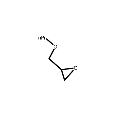 C[CH]COCC1CO1